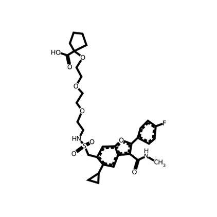 CNC(=O)c1c(-c2ccc(F)cc2)oc2cc(CS(=O)(=O)NCCOCCOCCOC3(C(=O)O)CCCC3)c(C3CC3)cc12